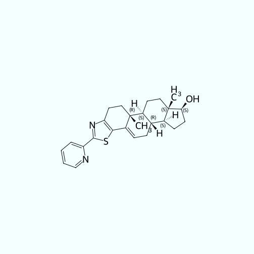 C[C@]12CC[C@H]3[C@@H](CC=C4c5sc(-c6ccccn6)nc5CC[C@@]43C)[C@@H]1CC[C@@H]2O